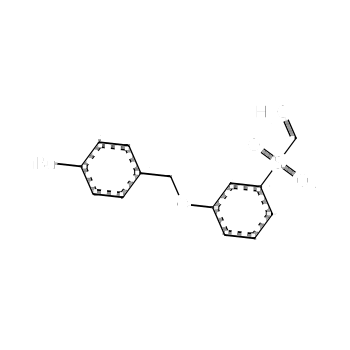 C=CS(=O)(=O)c1cccc(OCc2ccc(C(C)CC)cc2)c1